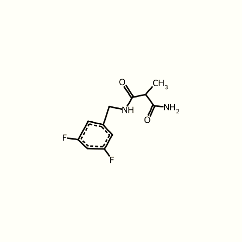 CC(C(N)=O)C(=O)NCc1cc(F)cc(F)c1